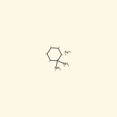 NC1(N)CCCCC1.[Fe+3]